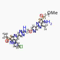 COCCC[S+]([O-])c1sc2nc(-c3ccc(OCCNc4ncc(-c5cc(-c6cccc(Cl)c6)c6c(N)c([S+]([O-])C7CCC7)sc6n5)cn4)nc3)nc(C3CC3)c2c1N